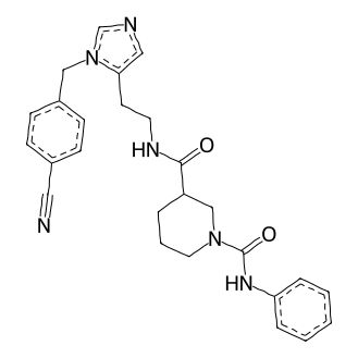 N#Cc1ccc(Cn2cncc2CCNC(=O)C2CCCN(C(=O)Nc3ccccc3)C2)cc1